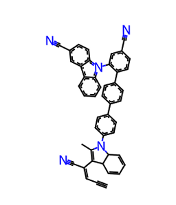 C#C/C=C(/C#N)C1=C(C)N(c2ccc(-c3ccc(-c4ccc(C#N)cc4-n4c5ccccc5c5cc(C#N)ccc54)cc3)cc2)C2C=CC=CC12